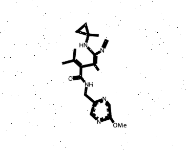 C=N/C(NC1(C)CC1)=C(\C)C(C(=O)NCc1cnc(OC)cn1)=C(C)C